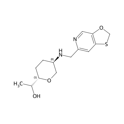 CC(O)[C@@H]1CC[C@@H](NCc2cc3c(cn2)OCS3)CO1